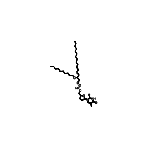 CCCCCCCCCCCCSCC(COOPOCC1CCC(n2cc(C)c(=O)[nH]c2=O)O1)OCCCCCCCCCC